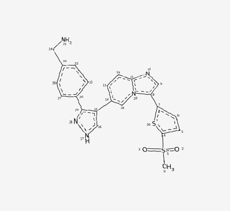 CS(=O)(=O)c1ccc(-c2cnc3ccc(-c4c[nH]nc4-c4ccc(CN)cc4)cn23)s1